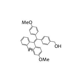 COc1ccc(C(=C(c2ccc(OC)cc2)c2ccccc2C(C)C)c2ccc(CO)cc2)cc1